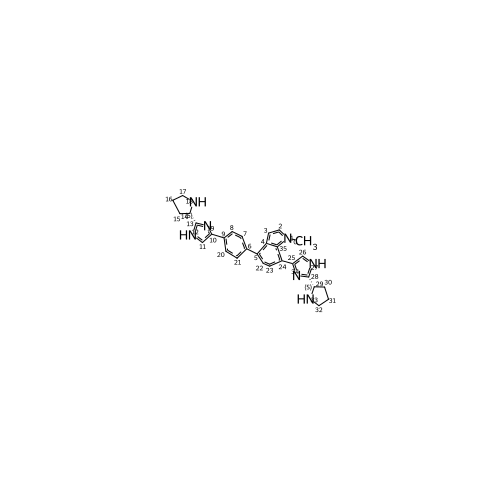 Cn1ccc2c(-c3ccc(-c4c[nH]c([C@@H]5CCCN5)n4)cc3)ccc(-c3c[nH]c([C@@H]4CCCN4)n3)c21